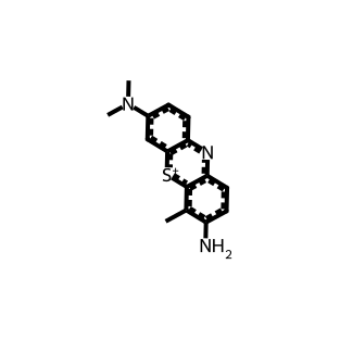 Cc1c(N)ccc2nc3ccc(N(C)C)cc3[s+]c12